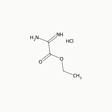 CCOC(=O)C(=N)N.Cl